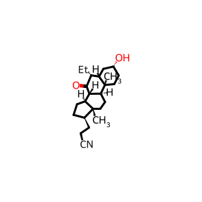 CC[C@H]1C(=O)[C@@H]2[C@H](CC[C@]3(C)[C@@H](CCC#N)CC[C@@H]23)[C@@]2(C)CC[C@@H](O)C[C@@H]12